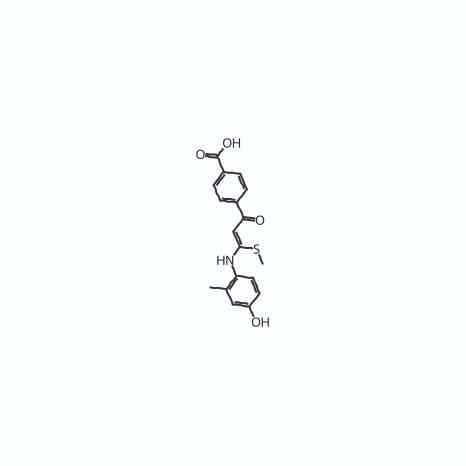 CSC(=CC(=O)c1ccc(C(=O)O)cc1)Nc1ccc(O)cc1C